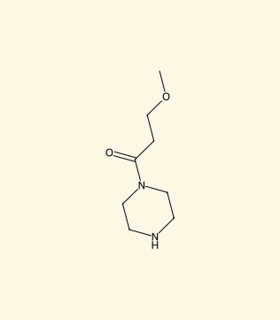 COCCC(=O)N1CCNCC1